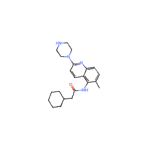 Cc1ccc2nc(N3CCNCC3)ccc2c1NC(=O)CC1CCCCC1